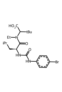 CCN(C(=O)[C@H](CC(C)C)NC(=O)Nc1ccc(Br)cc1)C(C(=O)O)C(C)(C)C